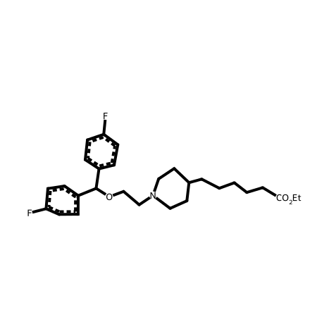 CCOC(=O)CCCCCC1CCN(CCOC(c2ccc(F)cc2)c2ccc(F)cc2)CC1